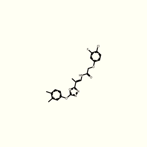 C/C(=C\NC(=O)COc1ccc(Cl)c(F)c1)c1nnc(Oc2ccc(C)c(C)c2)o1